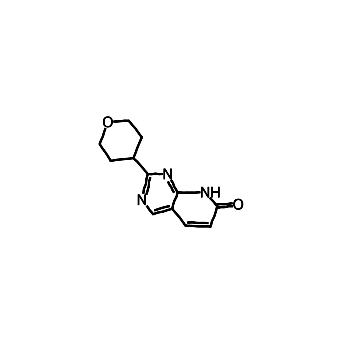 O=c1ccc2cnc(C3CCOCC3)nc2[nH]1